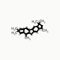 CC1=CC(C)(C)c2cc3c(cc21)Cc1c-3cc2c(c1C)=CC(C)(C)C=2